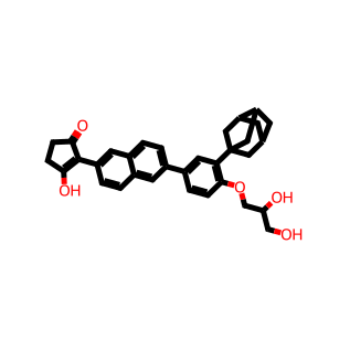 O=C1CCC(O)=C1c1ccc2cc(-c3ccc(OCC(O)CO)c(C45CC6CC(C4)C(C6)C5)c3)ccc2c1